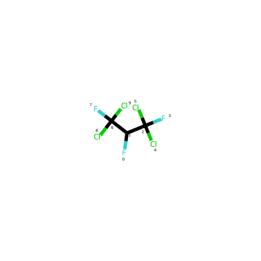 F[C](C(F)(Cl)Cl)C(F)(Cl)Cl